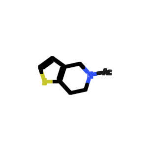 CC(=O)N1CCc2sccc2C1